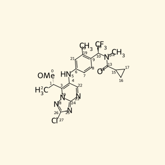 CO[C@@H](C)c1c(Nc2ccc([C@H](N(C)C(=O)C3CC3)C(F)(F)F)c(C)c2)cnc2nc(Cl)nn12